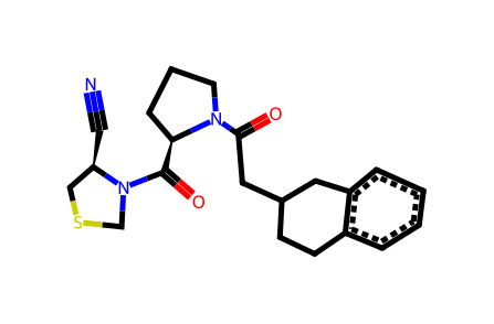 N#C[C@@H]1CSCN1C(=O)[C@H]1CCCN1C(=O)CC1CCc2ccccc2C1